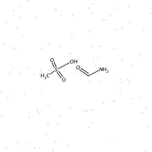 CS(=O)(=O)O.NC=O